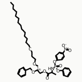 CCCCCCCCCCCCCCCCCCOC[C@H](COC(=O)C(C)NP(=O)(Oc1ccccc1)Oc1ccc([N+](=O)[O-])cc1)OCc1ccccc1